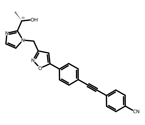 C[C@H](O)c1nccn1Cc1cc(-c2ccc(C#Cc3ccc(C#N)cc3)cc2)on1